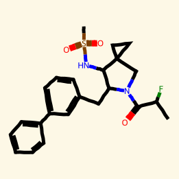 CC(F)C(=O)N1CC2(CC2)C(NS(C)(=O)=O)C1Cc1cccc(-c2ccccc2)c1